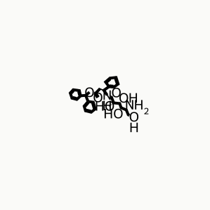 N[C@H](CO)[C@@H](O)[C@@H](O)[C@H](O)C(=O)N[C@@H](CC(=O)OC(c1ccccc1)c1ccccc1)c1ccccc1